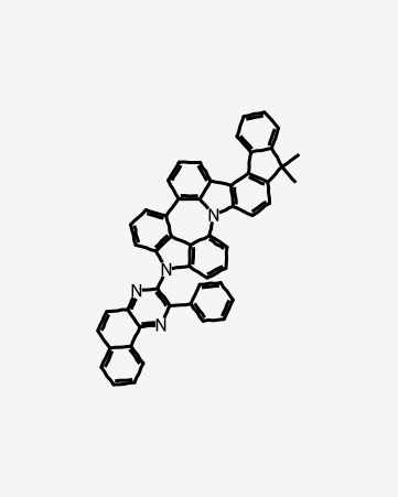 CC1(C)c2ccccc2-c2c1ccc1c2c2cccc3c4cccc5c4c4c(cccc4n1c32)n5-c1nc2ccc3ccccc3c2nc1-c1ccccc1